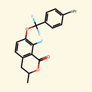 CCCc1ccc(C(F)(F)Oc2ccc3c(c2F)C(=O)OC(C)C3)cc1